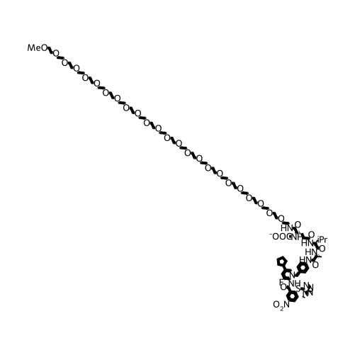 COCCOCCOCCOCCOCCOCCOCCOCCOCCOCCOCCOCCOCCOCCOCCOCCOCCOCCOCCOCCOCCOCCOCCOCCNC(=O)[C@H](CCC(=O)N[C@H](C(=O)N[C@@H](C)C(=O)Nc1ccc(C[n+]2cc(C3CCCC3)cc(F)c2NC(=O)c2cc([N+](=O)[O-])ccc2Sc2nnnn2C)cc1)C(C)C)NC(=O)[O-]